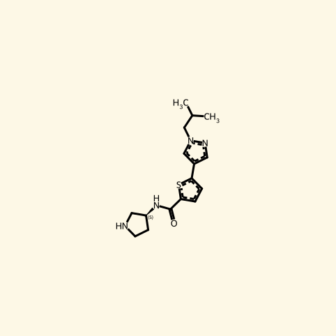 CC(C)Cn1cc(-c2ccc(C(=O)N[C@H]3CCNC3)s2)cn1